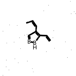 C=CC1=C(/C=C\C)C=BB1